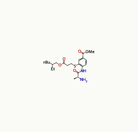 CCCCC(CC)COC(=O)CCSc1cc(C(=O)OC)ccc1NC(=O)[C@H](C)N